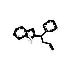 C=CC[C](c1ccccc1)c1cc2ccccc2[nH]1